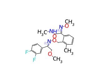 CNC(=O)/C(=N/OC)c1cccc(C)c1CO/N=C(\COC)c1ccc(F)c(F)c1